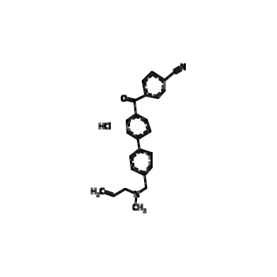 C=CCN(C)Cc1ccc(-c2ccc(C(=O)c3ccc(C#N)cc3)cc2)cc1.Cl